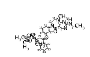 CCNc1ncc2c(n1)N(C)CCN(c1cccc(OC(CN(C)C(=O)OC(C)(C)C)c3ccccc3)c1)C2=O